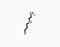 FCCCOCCC(F)(F)F